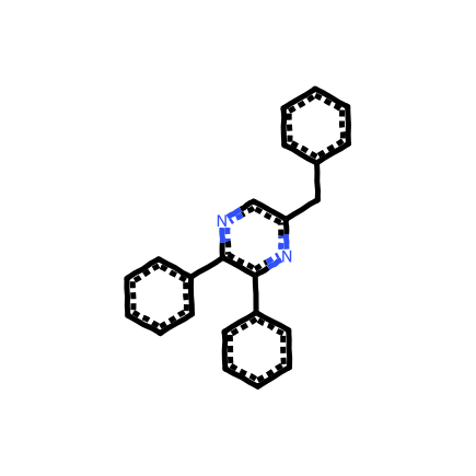 c1ccc(Cc2cnc(-c3ccccc3)c(-c3ccccc3)n2)cc1